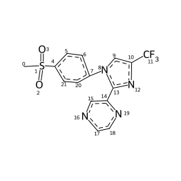 CS(=O)(=O)c1ccc(-n2cc(C(F)(F)F)nc2-c2cnccn2)cc1